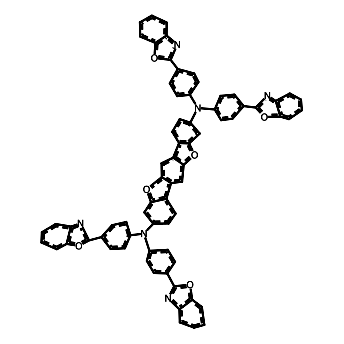 c1ccc2oc(-c3ccc(N(c4ccc(-c5nc6ccccc6o5)cc4)c4ccc5c(c4)oc4cc6c(cc45)oc4cc(N(c5ccc(-c7nc8ccccc8o7)cc5)c5ccc(-c7nc8ccccc8o7)cc5)ccc46)cc3)nc2c1